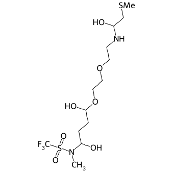 CSCC(O)NCCOCCOC(O)CCC(O)N(C)S(=O)(=O)C(F)(F)F